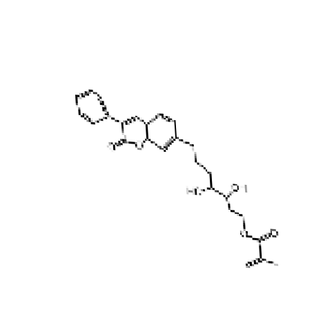 C=C(C)C(=O)OCCC(O)C(O)CCCC1=CC2OC(=O)C(c3ccccc3)=CC2C=C1